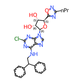 CCCc1noc([C@H]2O[C@@H](n3cnc4c(NCC(c5ccccc5)c5ccccc5)nc(Cl)nc43)[C@H](O)[C@@H]2O)n1